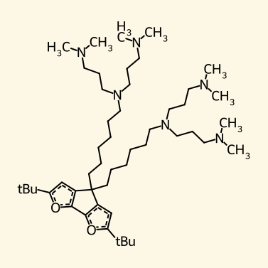 CN(C)CCCN(CCCCCCC1(CCCCCCN(CCCN(C)C)CCCN(C)C)c2cc(C(C)(C)C)oc2-c2oc(C(C)(C)C)cc21)CCCN(C)C